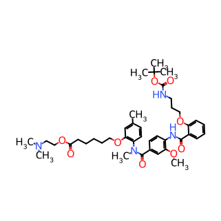 COc1cc(C(=O)N(C)c2ccc(C)cc2OCCCCCC(=O)OCCN(C)C)ccc1NC(=O)c1ccccc1OCCCNC(=O)OC(C)(C)C